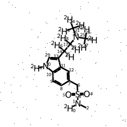 [2H]N(C)S(=O)(=O)Cc1ccc2c(c1)c(C([2H])([2H])C([2H])([2H])N(C([2H])([2H])[2H])C([2H])([2H])[2H])cn2[2H]